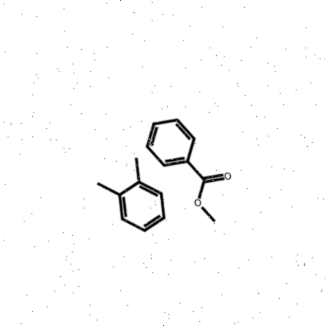 COC(=O)c1ccccc1.Cc1ccccc1C